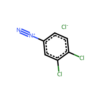 N#[N+]c1ccc(Cl)c(Cl)c1.[Cl-]